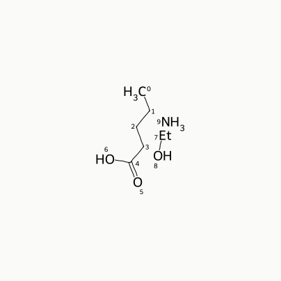 CCCCC(=O)O.CCO.N